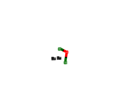 ClOCl.[Ru].[Ru]